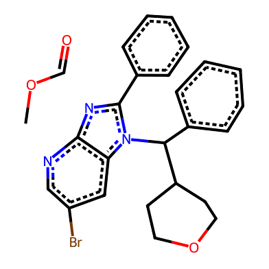 Brc1cnc2nc(-c3ccccc3)n(C(c3ccccc3)C3CCOCC3)c2c1.COC=O